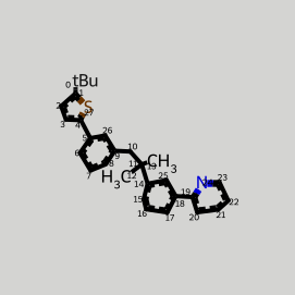 CC(C)(C)c1ccc(-c2cccc(CC(C)(C)c3cccc(-c4ccccn4)c3)c2)s1